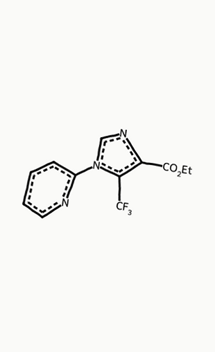 CCOC(=O)c1ncn(-c2ccccn2)c1C(F)(F)F